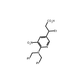 CCC(CC(=O)O)c1cnc(N(CC(C)C)CC(C)C)c([N+](=O)[O-])c1